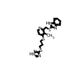 Cc1c(SCCCSc2nc[nH]n2)ccnc1CSc1nc2ccccc2[nH]1